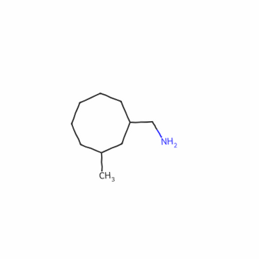 CC1CCCCCC(CN)C1